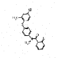 Cc1cc(Cl)ccc1Oc1ccc(N(C)C(=O)C2C=CC=CC2=O)cn1